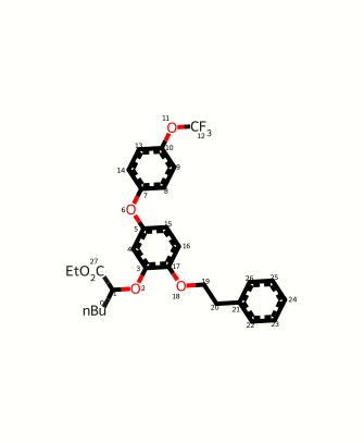 CCCCC(Oc1cc(Oc2ccc(OC(F)(F)F)cc2)ccc1OCCc1ccccc1)C(=O)OCC